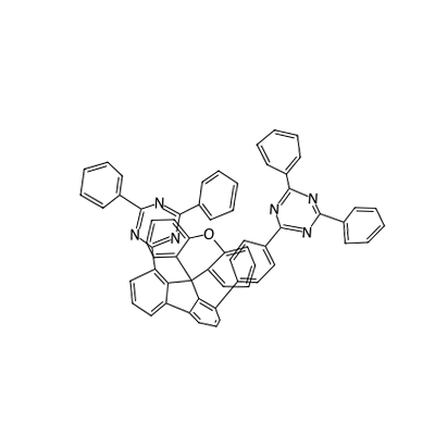 c1ccc(-c2nc(-c3ccccc3)nc(-c3ccc(-c4cccc5c4C4(c6ccccc6Oc6ccccc64)c4c(-c6nc(-c7ccccc7)nc(-c7ccccc7)n6)cccc4-5)cc3)n2)cc1